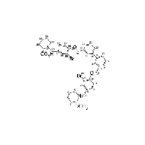 C[C@@H]1CCCCN1Cc1ccc(OCc2cccc(-c3cccc(COc4ccc(CN5CCCC[C@H]5C(=O)O)cc4Br)c3)c2)c(Br)c1